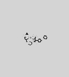 CC(C)(C=C(C#N)C(=O)N1CCC[C@H](n2nc(-c3ccc(Oc4ccccc4)cc3F)c3c(N)ncnc32)C1)NC1CC1